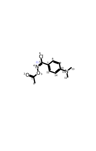 CC(=O)O/N=C(/Cl)c1ccc(N(C)C)cc1